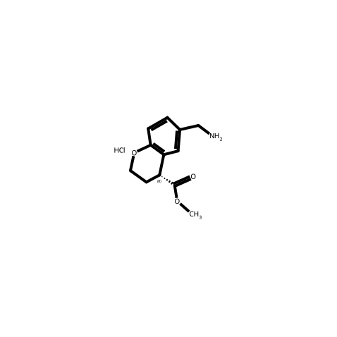 COC(=O)[C@@H]1CCOc2ccc(CN)cc21.Cl